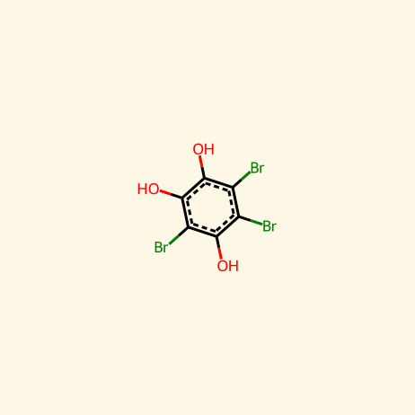 Oc1c(O)c(Br)c(Br)c(O)c1Br